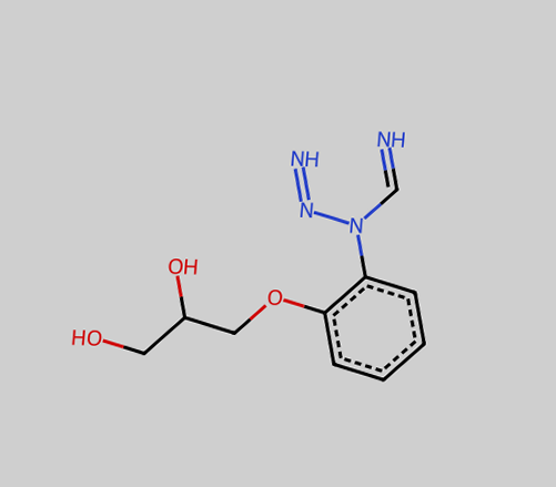 N=CN(N=N)c1ccccc1OCC(O)CO